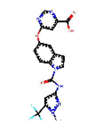 Cn1nc(NC(=O)n2ccc3cc(Oc4cc(C(=O)O)ncn4)ccc32)cc1C(F)(F)F